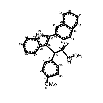 COc1ccc(C(C(=O)NO)c2c(-c3ccc4ccccc4c3)[nH]c3ccccc23)cc1